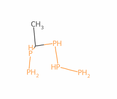 CC(PP)PPP